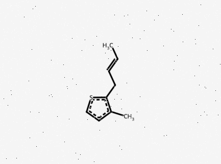 CC=CCc1sccc1C